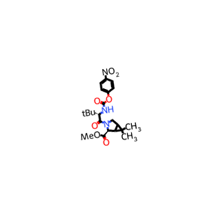 COC(=O)[C@@H]1C2C(CN1C(=O)[C@@H](NC(=O)Oc1ccc([N+](=O)[O-])cc1)C(C)(C)C)C2(C)C